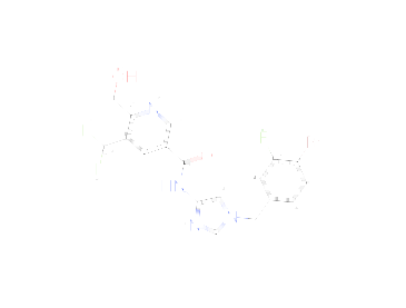 O=C(Nc1cn(Cc2ccc(Br)c(F)c2)cn1)c1cnc(CO)c(C(F)F)c1